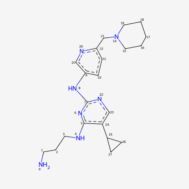 NCCCNc1nc(Nc2ccc(CN3CCCCC3)nc2)ncc1C1CC1